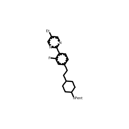 CCCCCC1CCC(CCc2ccc(-c3ncc(CC)cn3)c(F)c2)CC1